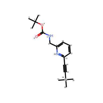 CC(C)(C)OC(=O)NCc1cccc(C#C[Si](C)(C)C)n1